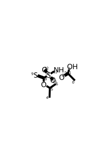 CC(=O)O.CC(C)OC(=S)S(N)(=O)=O